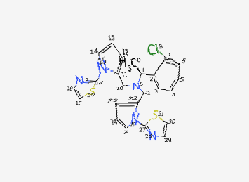 C[C@@H](c1ccccc1Cl)N(Cc1cccn1-c1nccs1)Cc1cccn1-c1nccs1